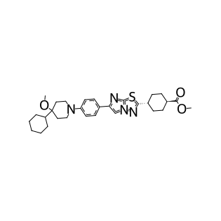 COC(=O)[C@H]1CC[C@H](c2nn3cc(-c4ccc(N5CCC(OC)(C6CCCCC6)CC5)cc4)nc3s2)CC1